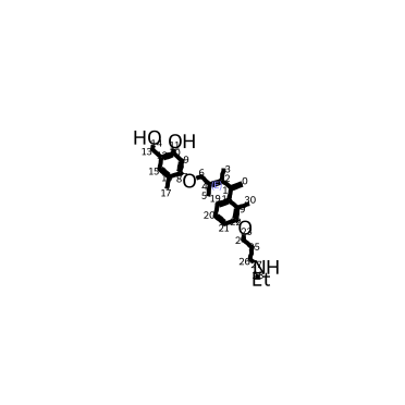 C=C(/C(C)=C(\C)COc1cc(O)c(CO)cc1C)c1cccc(OCCCNCC)c1C